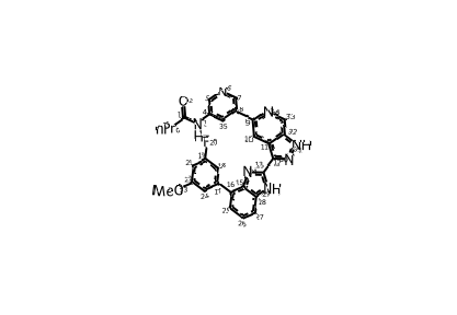 CCCC(=O)Nc1cncc(-c2cc3c(-c4nc5c(-c6cc(F)cc(OC)c6)cccc5[nH]4)n[nH]c3cn2)c1